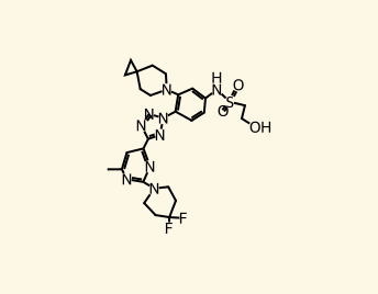 Cc1cc(-c2nnn(-c3ccc(NS(=O)(=O)CCO)cc3N3CCC4(CC3)CC4)n2)nc(N2CCC(F)(F)CC2)n1